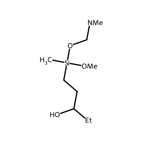 CCC(O)CC[Si](C)(OC)OCNC